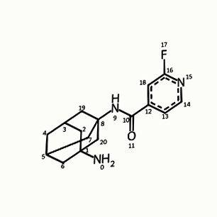 NC12CC3CC(C1)CC(NC(=O)c1ccnc(F)c1)(C3)C2